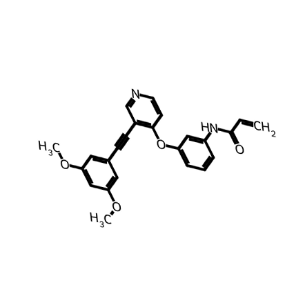 C=CC(=O)Nc1cccc(Oc2ccncc2C#Cc2cc(OC)cc(OC)c2)c1